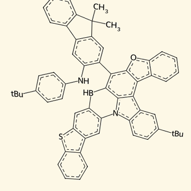 CC(C)(C)c1ccc(Nc2cc3c(cc2-c2c4c5c(c6cc(C(C)(C)C)ccc6n5-c5cc6c(cc5B4)sc4ccccc46)c4c2oc2ccccc24)C(C)(C)c2ccccc2-3)cc1